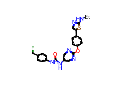 CCNc1ncc(-c2ccc(Oc3ncc(NC(=O)Nc4ccc(CF)cc4)cn3)cc2)s1